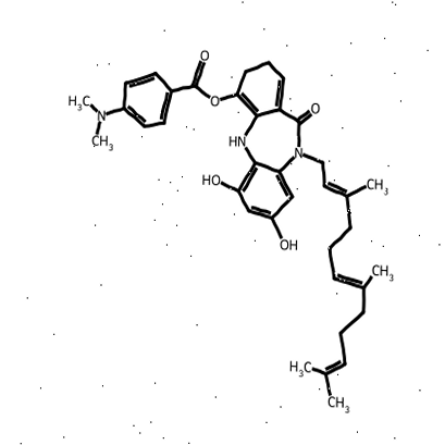 CC(C)=CCC/C(C)=C/CC/C(C)=C/CN1C(=O)C2=CCCC(OC(=O)c3ccc(N(C)C)cc3)=C2Nc2c(O)cc(O)cc21